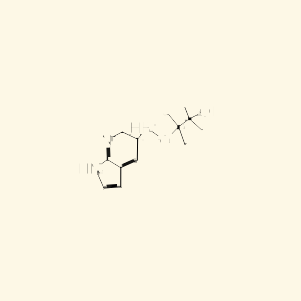 CC(C)(O)C(C)(C)OBC1C=c2cc[nH]c2=NC1